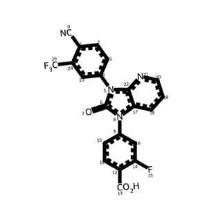 N#Cc1ccc(-n2c(=O)n(-c3ccc(C(=O)O)c(F)c3)c3cccnc32)cc1C(F)(F)F